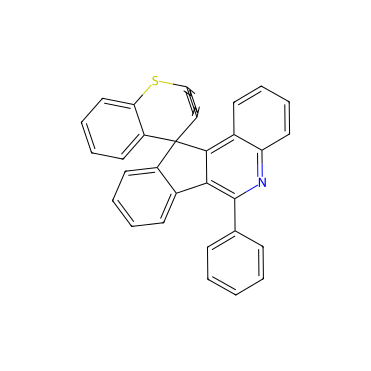 c1ccc(-c2nc3ccccc3c3c2-c2ccccc2C32c3ccccc3Sc3ccccc32)cc1